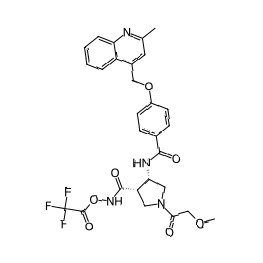 COCC(=O)N1C[C@H](C(=O)NOC(=O)C(F)(F)F)[C@H](NC(=O)c2ccc(OCc3cc(C)nc4ccccc34)cc2)C1